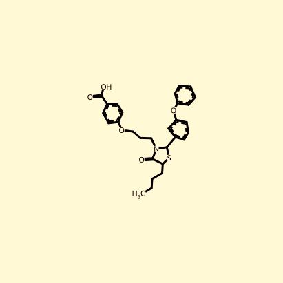 CCCCC1SC(c2cccc(Oc3ccccc3)c2)N(CCCOc2ccc(C(=O)O)cc2)C1=O